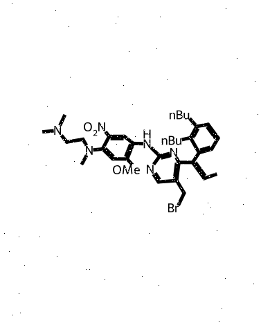 C/C=C(\c1cccc(CCCC)c1CCCC)c1nc(Nc2cc([N+](=O)[O-])c(N(C)CCN(C)C)cc2OC)ncc1CBr